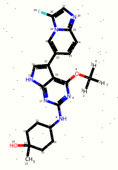 [2H]C([2H])([2H])Oc1nc(NC2CCC(C)(O)CC2)nc2[nH]cc(-c3ccc4ncc(F)n4c3)c12